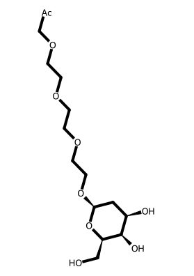 CC(=O)COCCOCCOCCO[C@H]1C[C@@H](O)[C@@H](O)[C@@H](CO)O1